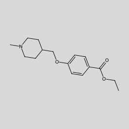 CCOC(=O)c1ccc(OCC2CCN(C)CC2)cc1